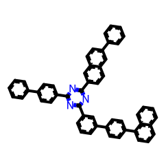 c1ccc(-c2ccc(-c3nc(-c4cccc(-c5ccc(-c6cccc7ccccc67)cc5)c4)nc(-c4ccc5cc(-c6ccccc6)ccc5c4)n3)cc2)cc1